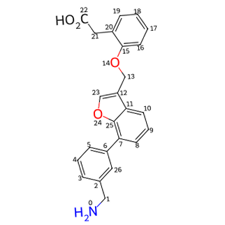 NCc1cccc(-c2cccc3c(COc4ccccc4CC(=O)O)coc23)c1